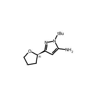 CC(C)(C)n1nc([C@H]2C[CH]CO2)cc1N